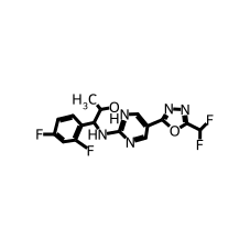 CC(O)C(Nc1ncc(-c2nnc(C(F)F)o2)cn1)c1ccc(F)cc1F